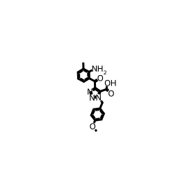 COc1ccc(Cn2nnc(C(=O)c3cccc(C)c3N)c2C(=O)O)cc1